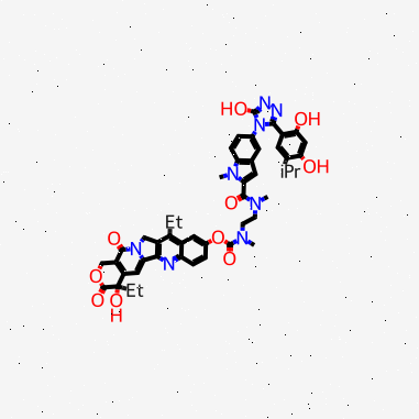 CCc1c2c(nc3ccc(OC(=O)N(C)CCN(C)C(=O)c4cc5cc(-n6c(O)nnc6-c6cc(C(C)C)c(O)cc6O)ccc5n4C)cc13)-c1cc3c(c(=O)n1C2)COC(=O)C3(O)CC